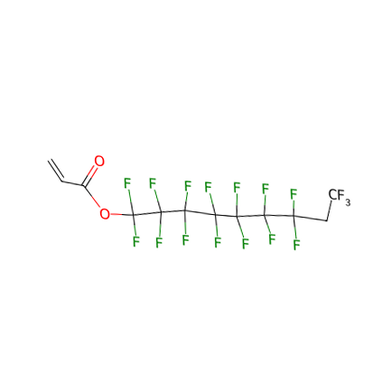 C=CC(=O)OC(F)(F)C(F)(F)C(F)(F)C(F)(F)C(F)(F)C(F)(F)C(F)(F)CC(F)(F)F